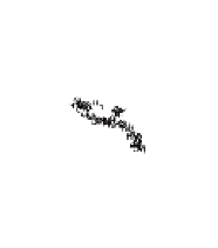 Cc1ccc(C(=O)N2CCC3(CC2)C[C@H](N2CCN(c4ncc(-c5ccc6cn(C7CCC(CNC(=O)c8cc(F)c(O)c(F)c8F)CC7)nc6c5)cn4)CC2)CO3)cc1N1CCC(=O)NC1=O.O=C(O)C(F)(F)F